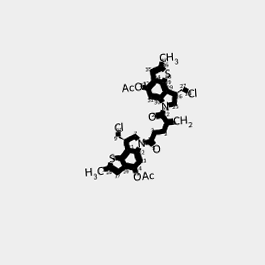 C=C(CCC(=O)N1C[C@@H](CCl)c2c1cc(OC(C)=O)c1cc(C)sc21)C(=O)N1C[C@@H](CCl)c2c1cc(OC(C)=O)c1cc(C)sc21